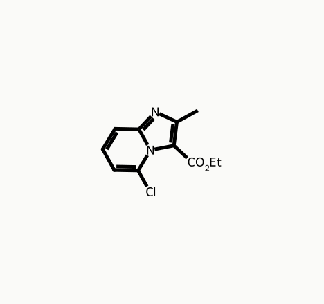 CCOC(=O)c1c(C)nc2cccc(Cl)n12